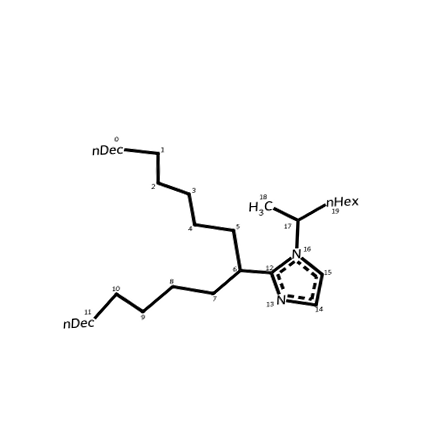 CCCCCCCCCCCCCCCC(CCCCCCCCCCCCCC)c1nccn1C(C)CCCCCC